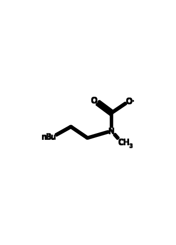 CCCCCCN(C)C([O])=O